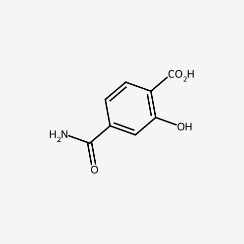 NC(=O)c1ccc(C(=O)O)c(O)c1